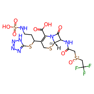 O=C(C[S+]([O-])CC(F)(F)F)NC1C(=O)N2C(C(=O)O)=C(C(CCNS(=O)(=O)O)Sc3nnn[nH]3)CS[C@@H]12